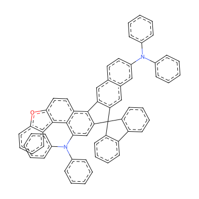 c1ccc(N(c2ccccc2)c2ccc3cc4c(cc3c2)C2(c3ccccc3-c3ccccc32)c2cc(N(c3ccccc3)c3ccccc3)c3c(ccc5oc6ccccc6c53)c2-4)cc1